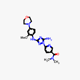 COc1cc(N2CCOCC2)ccc1Nc1nc(N)n(-c2ccc(C(=O)N(C)C)cn2)n1